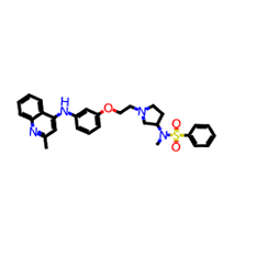 Cc1cc(Nc2cccc(OCCN3CCC(N(C)S(=O)(=O)c4ccccc4)C3)c2)c2ccccc2n1